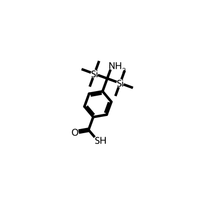 C[Si](C)(C)C(N)(c1ccc(C(=O)S)cc1)[Si](C)(C)C